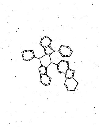 C1=NCCc2oc3ccc(N4c5c(sc6ccccc56)B(c5ccccc5)c5c4n(-c4ccccc4)c4ccccc54)cc3c21